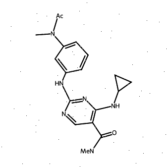 CNC(=O)c1cnc(Nc2cccc(N(C)C(C)=O)c2)nc1NC1CC1